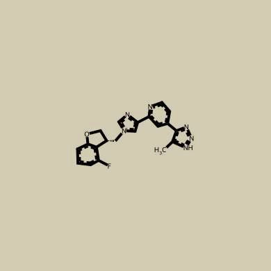 Cc1[nH]nnc1-c1ccnc(-c2cn(C[C@H]3COc4cccc(F)c43)cn2)c1